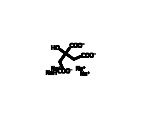 O=C([O-])CC(O)(CC(=O)[O-])C(=O)[O-].[Na+].[Na+].[Na+].[NaH]